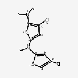 CN(C)c1sc(N(C)c2cc(Cl)cs2)cc1Cl